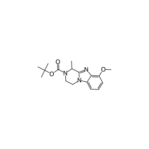 COc1cccc2c1nc1n2CCN(C(=O)OC(C)(C)C)C1C